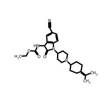 CCOC(=O)NC1C(=O)N(C2CCN(C3CCC(=C(C)C)CC3)CC2)c2ccc(C#N)cc21